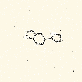 c1c[nH]c(-c2ccc3[nH]ncc3c2)c1